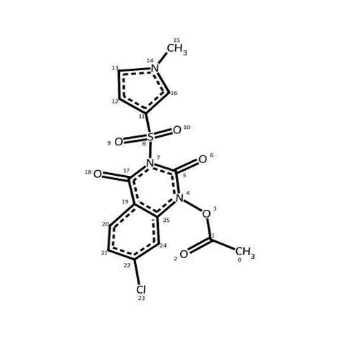 CC(=O)On1c(=O)n(S(=O)(=O)c2ccn(C)c2)c(=O)c2ccc(Cl)cc21